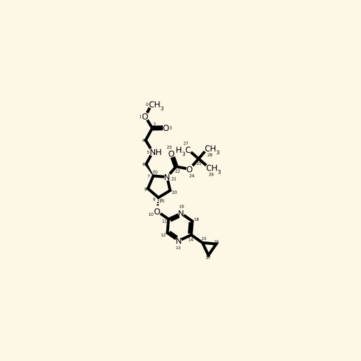 COC(=O)CNC[C@@H]1C[C@@H](Oc2cnc(C3CC3)cn2)CN1C(=O)OC(C)(C)C